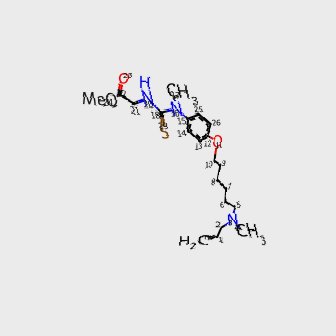 C=CCN(C)CCCCCCOc1ccc(N(C)C(=S)NCC(=O)OC)cc1